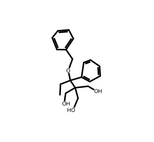 CCC(OCc1ccccc1)(c1ccccc1)C(CO)(CO)CO